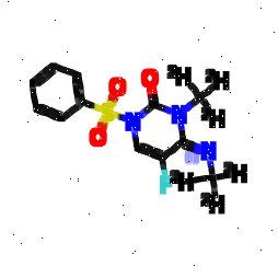 [2H]C([2H])([2H])/N=c1\c(F)cn(S(=O)(=O)c2ccccc2)c(=O)n1C([2H])([2H])[2H]